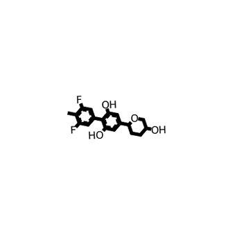 Cc1c(F)cc(-c2c(O)cc(C3CCC(O)CO3)cc2O)cc1F